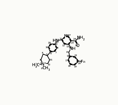 C[N+]1(C)CCC(c2ccc(Nc3cc(NCc4cccc(F)c4)c(C(N)=O)cn3)cc2)CC1